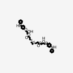 CC(CSCCC(=O)OCC(O)COc1ccc(Nc2ccccc2)cc1)SCCC(=O)OCC(O)COc1ccc(Nc2ccccc2)cc1